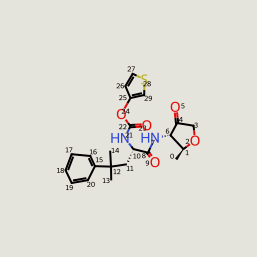 C[C@@H]1OCC(=O)[C@H]1NC(=O)[C@H](CC(C)(C)c1ccccc1)NC(=O)Oc1ccsc1